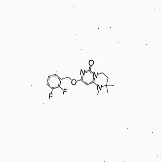 CN1c2cc(OCc3cccc(F)c3F)nc(=O)n2CCC1(C)C